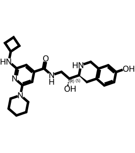 O=C(NC[C@@H](O)[C@@H]1Cc2ccc(O)cc2CN1)c1cc(NC2CCC2)nc(N2CCCCC2)c1